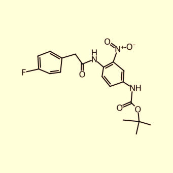 CC(C)(C)OC(=O)Nc1ccc(NC(=O)Cc2ccc(F)cc2)c([N+](=O)[O-])c1